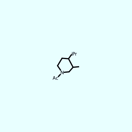 CC(=O)N1CCC(C(C)C)C(C)C1